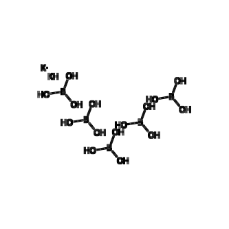 OB(O)O.OB(O)O.OB(O)O.OB(O)O.OB(O)O.[KH].[K]